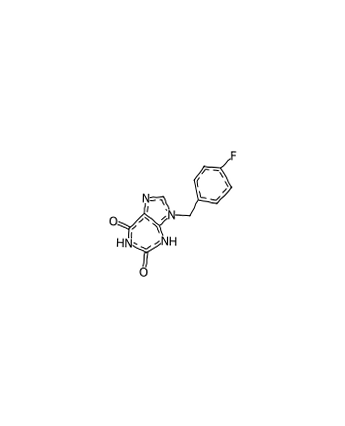 O=c1[nH]c(=O)c2ncn(Cc3ccc(F)cc3)c2[nH]1